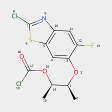 C[C@H](Oc1cc2sc(Cl)nc2cc1F)[C@@H](C)OC(=O)Cl